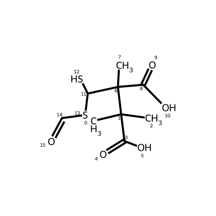 CC(C)(C(=O)O)C(C)(C(=O)O)C(S)SC=O